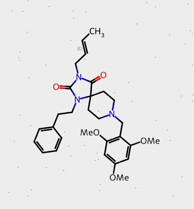 C/C=C/CN1C(=O)N(CCc2ccccc2)C2(CCN(Cc3c(OC)cc(OC)cc3OC)CC2)C1=O